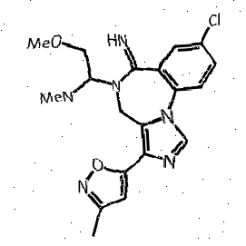 CNC(COC)N1Cc2c(-c3cc(C)no3)ncn2-c2ccc(Cl)cc2C1=N